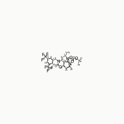 CCC1CC(N(Cc2cc(C(F)(F)F)cc(C(F)(F)F)c2)C(C)=O)c2ccc(C)nc2N1OC(=O)OC(C)C